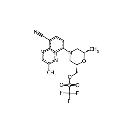 Cc1cnc2c(C#N)ccc(N3C[C@H](COS(=O)(=O)C(F)(F)F)O[C@H](C)C3)c2n1